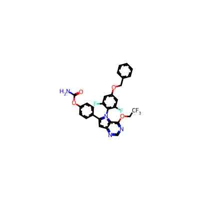 NC(=O)Oc1ccc(-c2cc3ncnc(OCC(F)(F)F)c3n2-c2c(F)cc(OCc3ccccc3)cc2F)cc1